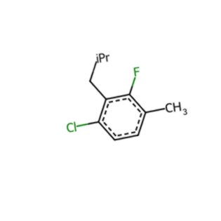 Cc1ccc(Cl)c(CC(C)C)c1F